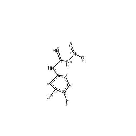 N=C(Nc1ccc(F)c(Cl)c1)N[N+](=O)[O-]